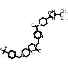 CC(C)c1noc(C2CCN(C(=O)c3ccc(CN4CCC5(CCN(Cc6ccc(C(F)(F)F)cc6)CC5)OC4=O)nc3)CC2)n1